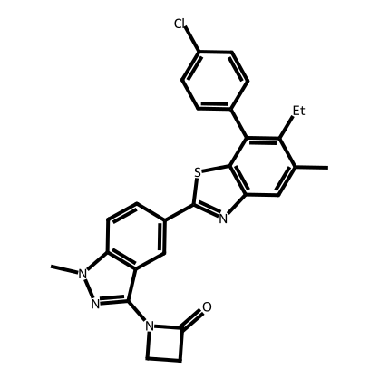 CCc1c(C)cc2nc(-c3ccc4c(c3)c(N3CCC3=O)nn4C)sc2c1-c1ccc(Cl)cc1